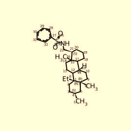 CC[C@]12CC[C@H](C)C[C@@]1(C)CC[C@@H]1C2CC[C@@]2(C)C1CCC[C@@H]2CNS(=O)(=O)c1ccccc1